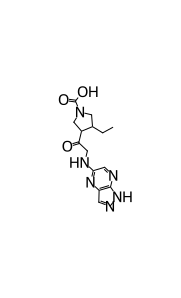 CCC1CN(C(=O)O)CC1C(=O)CNc1cnc2[nH]ncc2n1